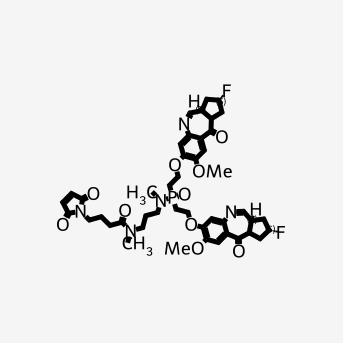 COc1cc2c(cc1OCCP(=O)(CCOc1cc3c(cc1OC)C(=O)C1C[C@@H](F)C[C@H]1C=N3)N(C)CCCN(C)C(=O)CCCN1C(=O)C=CC1=O)N=C[C@@H]1C[C@H](F)CC1C2=O